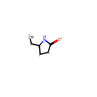 N#CCC1CCC(=O)N1